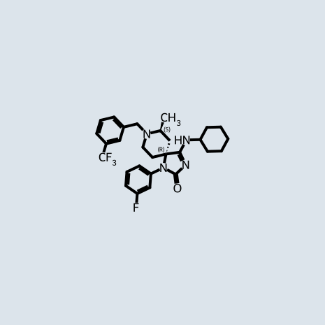 C[C@H]1C[C@]2(CCN1Cc1cccc(C(F)(F)F)c1)C(NC1CCCCC1)=NC(=O)N2c1cccc(F)c1